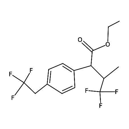 CCOC(=O)C(c1ccc(CC(F)(F)F)cc1)C(C)C(F)(F)F